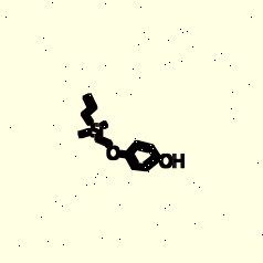 C=CC[Si](C)(C)CCOc1ccc(O)cc1